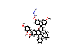 COc1ccc(C2(c3ccc(OCN=[N+]=[N-])cc3)C=Cc3c4c(c5cc(OC)c(-c6ccc(OC)cc6OC)cc5c3O2)-c2ccccc2C42CC(C)(C)CC(C)(C)C2)cc1